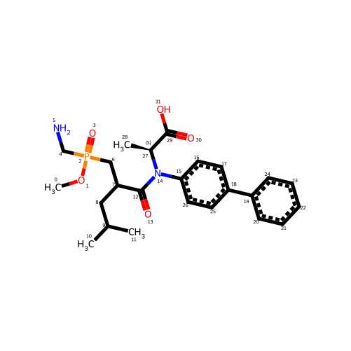 COP(=O)(CN)CC(CC(C)C)C(=O)N(c1ccc(-c2ccccc2)cc1)[C@@H](C)C(=O)O